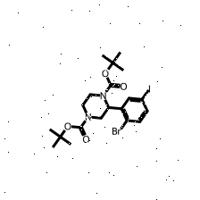 CC(C)(C)OC(=O)N1CCN(C(=O)OC(C)(C)C)C(c2cc(I)ccc2Br)C1